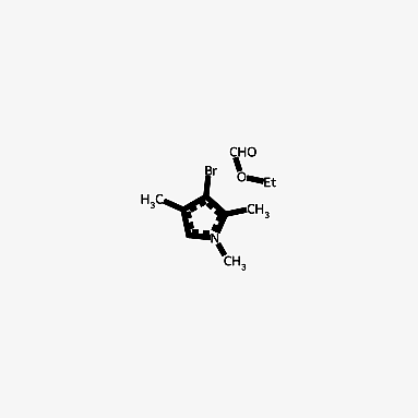 CCOC=O.Cc1cn(C)c(C)c1Br